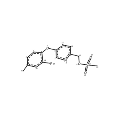 Cc1ccc(Oc2cnc(COS(C)(=O)=O)cn2)c(F)c1